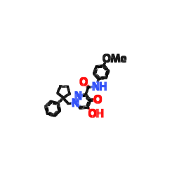 COc1ccc(NC(=O)c2nn(CC3(c4ccccc4)CCCC3)cc(O)c2=O)cc1